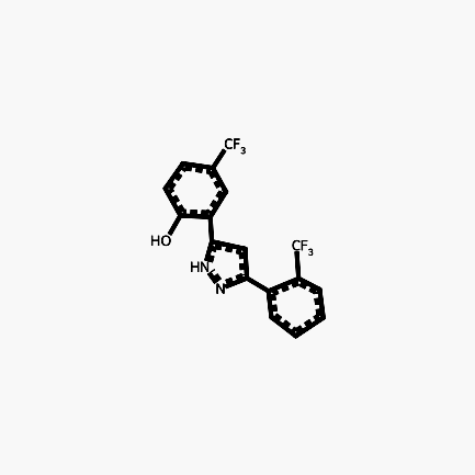 Oc1ccc(C(F)(F)F)cc1-c1cc(-c2ccccc2C(F)(F)F)n[nH]1